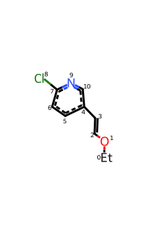 CCO/C=C/c1ccc(Cl)nc1